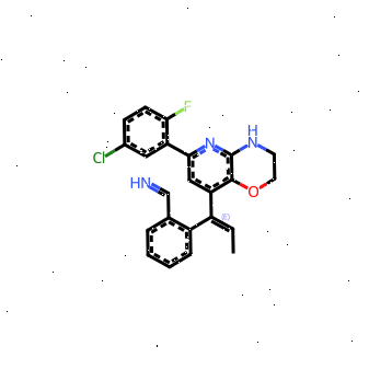 C/C=C(\c1ccccc1C=N)c1cc(-c2cc(Cl)ccc2F)nc2c1OCCN2